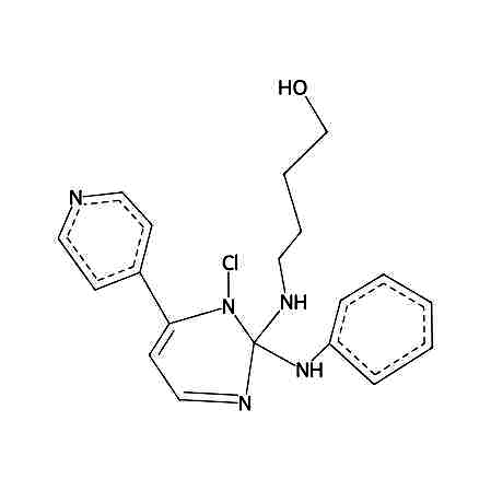 OCCCCNC1(Nc2ccccc2)N=CC=C(c2ccncc2)N1Cl